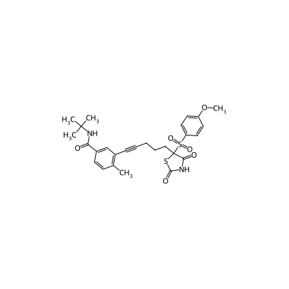 COc1ccc(S(=O)(=O)C2(CCCC#Cc3cc(C(=O)NC(C)(C)C)ccc3C)SC(=O)NC2=O)cc1